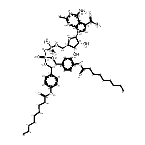 CCCCCCCCC(=O)Oc1ccc(COP(=O)(OCc2ccc(OC(=O)CCCCCCCC)cc2)OP(=O)(O)OC[C@H]2O[C@@H](n3cc(C(N)=O)c4c(N)nc(C)nc43)[C@H](O)[C@@H]2O)cc1